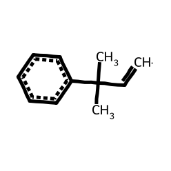 [CH]=CC(C)(C)c1ccccc1